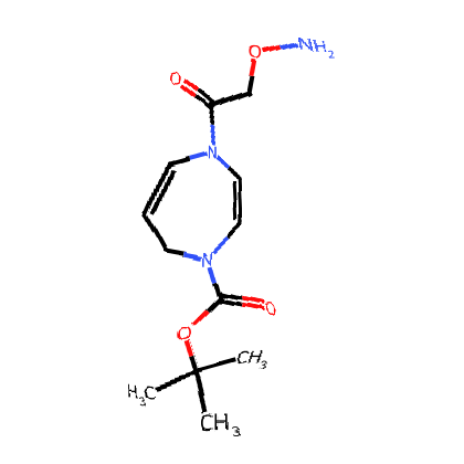 CC(C)(C)OC(=O)N1C=CN(C(=O)CON)C=CC1